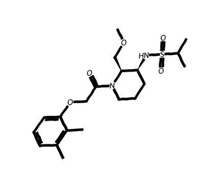 COC[C@H]1[C@@H](NS(=O)(=O)C(C)C)CCCN1C(=O)COc1cccc(C)c1C